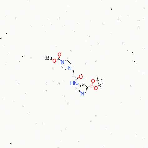 CC(C)(C)OC(=O)N1CCN(CCC(=O)Nc2cncc(B3OC(C)(C)C(C)(C)O3)c2)CC1